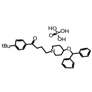 CC(C)(C)c1ccc(C(=O)CCCN2CCC(OC(c3ccccc3)c3ccccc3)CC2)cc1.O=P(O)(O)O